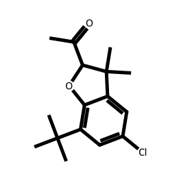 CC(=O)C1Oc2c(C(C)(C)C)cc(Cl)cc2C1(C)C